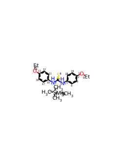 CCOc1ccc(NC(=S)Nc2ccc(OCC)cc2)cc1.[CH3][Mg][Si](C)(C)C